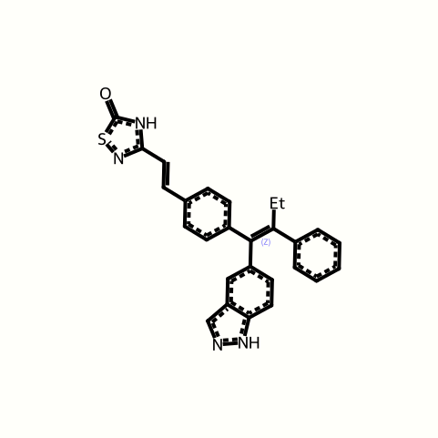 CC/C(=C(\c1ccc(C=Cc2nsc(=O)[nH]2)cc1)c1ccc2[nH]ncc2c1)c1ccccc1